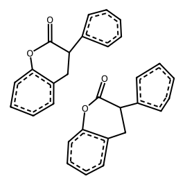 O=C1Oc2ccccc2CC1c1ccccc1.O=C1Oc2ccccc2CC1c1ccccc1